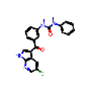 O=C(Nc1ccccc1)Nc1cccc(C(=O)c2c[nH]c3ncc(Cl)cc23)c1